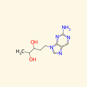 CC(O)C(O)CCn1cnc2cnc(N)nc21